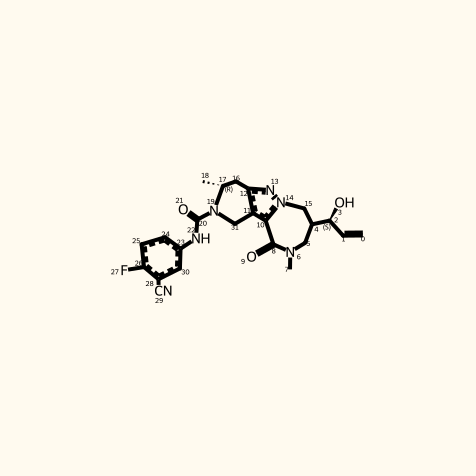 C=C[C@H](O)C1CN(C)C(=O)c2c3c(nn2C1)C[C@@H](C)N(C(=O)Nc1ccc(F)c(C#N)c1)C3